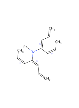 C=C/C=C(\C=C/C)N(CC)C(/C=C\C)=C/C=C